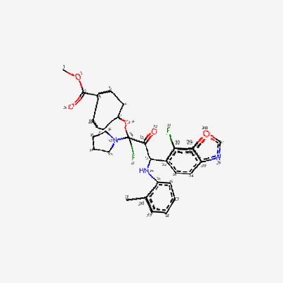 COC(=O)C1CCC(OC(F)(C(=O)C(Nc2ccccc2C)c2ccc3ncoc3c2F)N2CCCC2)CC1